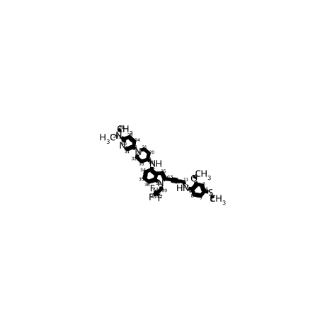 COc1cc(SC)ccc1NCC#Cc1cc2c(NC3CCN(c4ccc(N(C)C)nc4)CC3)cccc2n1CC(F)(F)F